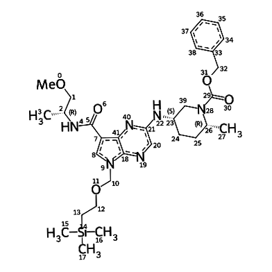 COC[C@@H](C)NC(=O)c1cn(COCC[Si](C)(C)C)c2ncc(N[C@H]3CC[C@@H](C)N(C(=O)OCc4ccccc4)C3)nc12